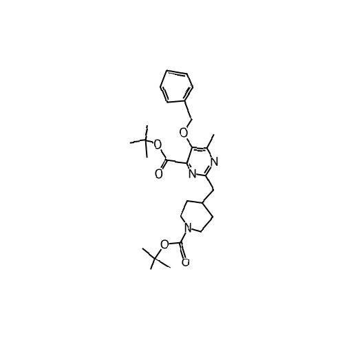 Cc1nc(CC2CCN(C(=O)OC(C)(C)C)CC2)nc(C(=O)OC(C)(C)C)c1OCc1ccccc1